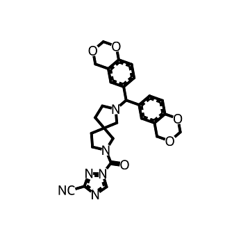 N#Cc1ncn(C(=O)N2CCC3(CCN(C(c4ccc5c(c4)COCO5)c4ccc5c(c4)COCO5)C3)C2)n1